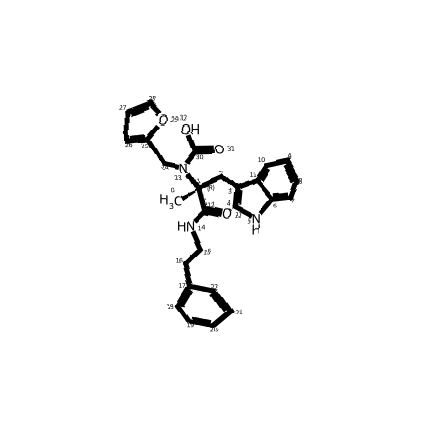 C[C@@](Cc1c[nH]c2ccccc12)(C(=O)NCCc1ccccc1)N(Cc1ccco1)C(=O)O